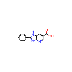 O=C(O)c1cnc2nc(-c3ccccc3)[nH]c2c1